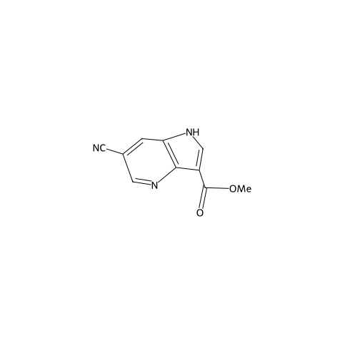 COC(=O)c1c[nH]c2cc(C#N)cnc12